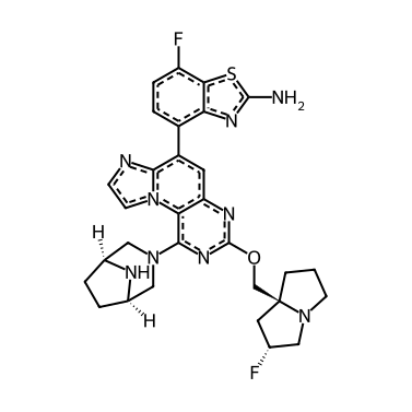 Nc1nc2c(-c3cc4nc(OC[C@@]56CCCN5C[C@H](F)C6)nc(N5C[C@H]6CC[C@@H](C5)N6)c4n4ccnc34)ccc(F)c2s1